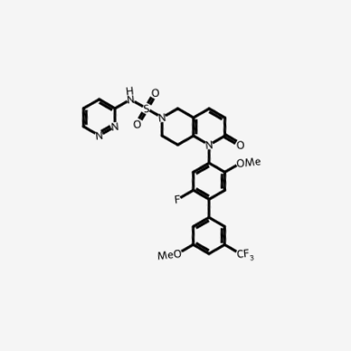 COc1cc(-c2cc(OC)c(-n3c4c(ccc3=O)CN(S(=O)(=O)Nc3cccnn3)CC4)cc2F)cc(C(F)(F)F)c1